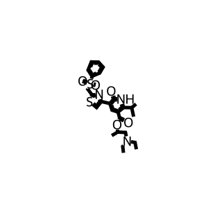 CCN(CC)CC(C)OC(=O)c1cc(-c2csc(CS(=O)(=O)c3ccccc3)n2)c(=O)[nH]c1C(C)C